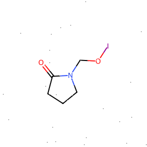 O=C1CCCN1COI